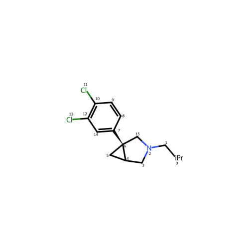 CC(C)CN1CC2C[C@]2(c2ccc(Cl)c(Cl)c2)C1